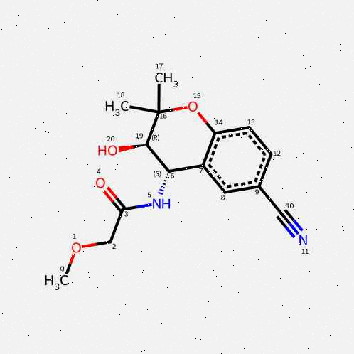 COCC(=O)N[C@H]1c2cc(C#N)ccc2OC(C)(C)[C@@H]1O